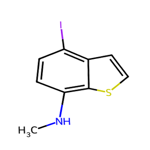 CNc1ccc(I)c2ccsc12